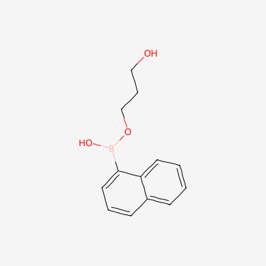 OCCCOB(O)c1cccc2ccccc12